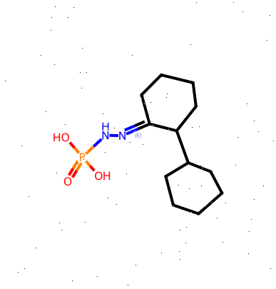 O=P(O)(O)N/N=C1\CCCCC1C1CCCCC1